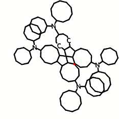 C1CCCCC(N(C2CCCCCCCC2)C2CCCC3C4CCCC(N(C5CCCCCCC5)C5CCCCCCC5)CCCC4C4(C3CCC2)C2CCCC(N(C3CCCCCCCCC3)C3CCCCCCC3)CCCC2C2CCCC(N(C3CCCCCCCCC3)C3CCCCCCC3)CCCC24)CCCC1